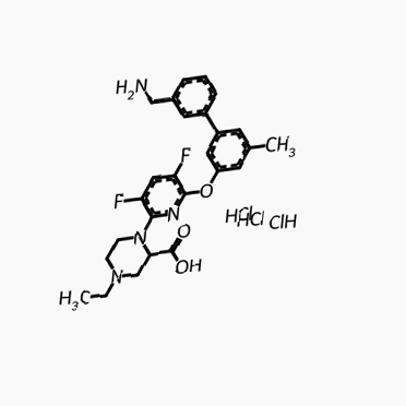 CCN1CCN(c2nc(Oc3cc(C)cc(-c4cccc(CN)c4)c3)c(F)cc2F)C(C(=O)O)C1.Cl.Cl.Cl